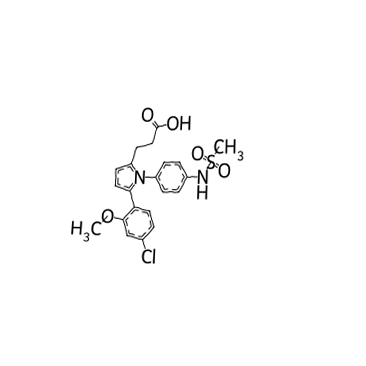 COc1cc(Cl)ccc1-c1ccc(CCC(=O)O)n1-c1ccc(NS(C)(=O)=O)cc1